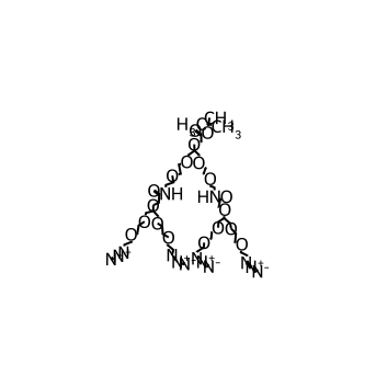 CC(C)(C)OC(=O)COC(COCCOCCNC(=O)COC(COCCOCCN=[N+]=[N-])COCCOCCN=[N+]=[N-])COCCOCCNC(=O)COC(COCCOCCN=[N+]=[N-])COCCOCCN=[N+]=[N-]